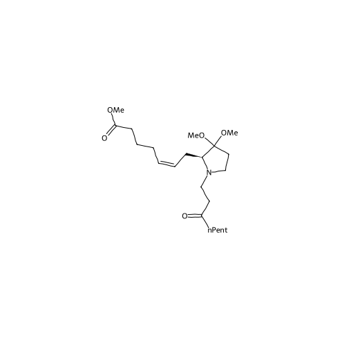 CCCCCC(=O)CCN1CCC(OC)(OC)[C@@H]1C/C=C\CCCC(=O)OC